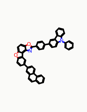 c1ccc(-n2c3ccccc3c3cc(-c4ccc(-c5nc6c(ccc7oc8ccc(-c9ccc%10c(ccc%11ccccc%11%10)c9)cc8c76)o5)cc4)ccc32)cc1